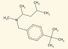 CC(C)CC(C)N(C)Cc1ccc(C(C)(C)C)cc1